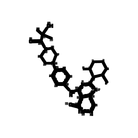 CC1CCCC(C)N1c1nc(Nc2ccc(N3CCN(C(=O)C(C)(C)O)CC3)cc2)c2c(=O)[nH]ncc2n1